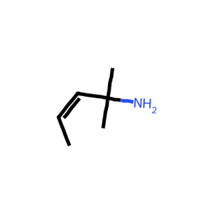 C/C=C\C(C)(C)N